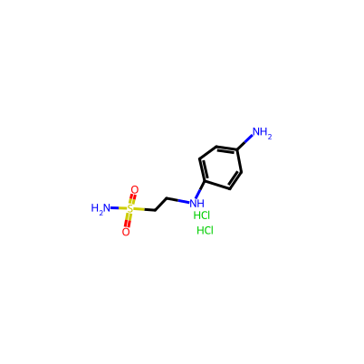 Cl.Cl.Nc1ccc(NCCS(N)(=O)=O)cc1